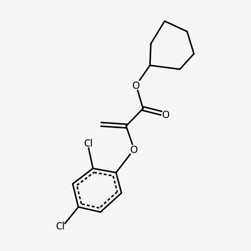 C=C(Oc1ccc(Cl)cc1Cl)C(=O)OC1CCCCC1